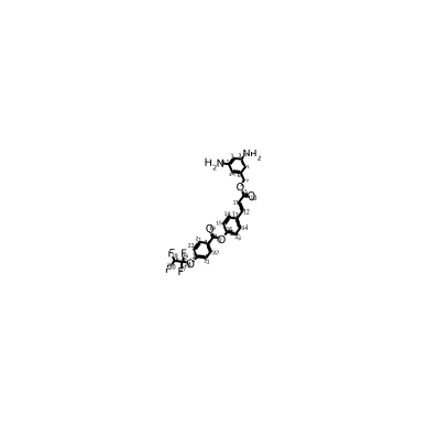 Nc1cc(N)cc(COC(=O)/C=C/c2ccc(OC(=O)c3ccc(OC(F)(F)C(F)F)cc3)cc2)c1